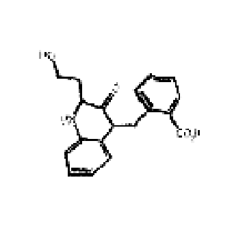 O=C(O)c1ccccc1CC1C(=O)C(CCO)Nc2ccccc21